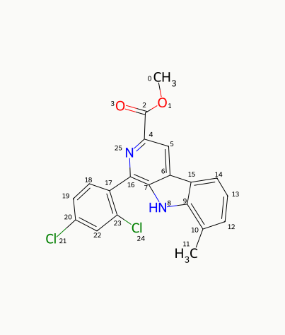 COC(=O)c1cc2c([nH]c3c(C)cccc32)c(-c2ccc(Cl)cc2Cl)n1